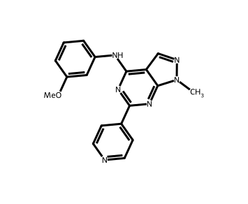 COc1cccc(Nc2nc(-c3ccncc3)nc3c2cnn3C)c1